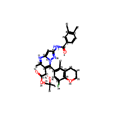 Cc1ccc(C(=O)Nc2cc3nc(C)c([C@H](OC(C)(C)C)C(=O)O)c(-c4cc(F)c5c(c4C)CCCO5)n3n2)cc1C